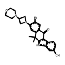 CCc1cc2c(cc1N1CC(N3CCOCC3)C1)C(C)(C)c1[nH]c3cc(C#N)ccc3c1C2=O